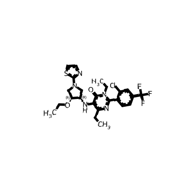 CCO[C@@H]1CN(c2nccs2)C[C@H]1Nc1c(CC)nc(-c2ccc(C(F)(F)F)cc2Cl)n(CC)c1=O